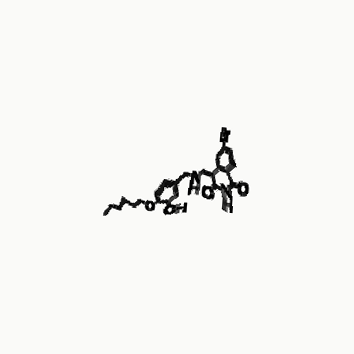 CCCCCCOc1ccc(CNC=C2C(=O)NC(=O)c3ccc(Br)cc32)cc1O